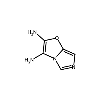 Nc1oc2cncn2c1N